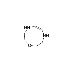 C1=CNCCOCCN1